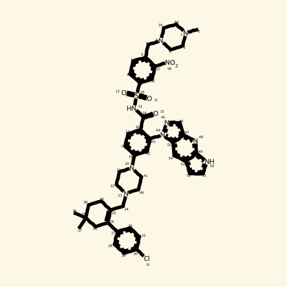 CN1CCN(Cc2ccc(S(=O)(=O)NC(=O)c3ccc(N4CCN(CC5=C(c6ccc(Cl)cc6)CC(C)(C)CC5)CC4)cc3-n3ncc4nc5[nH]ccc5cc43)cc2[N+](=O)[O-])CC1